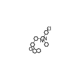 Clc1ccc(-c2cc(-c3cccc(-c4ccc5oc6ccc7ccccc7c6c5c4)c3)nc(-c3ccccc3)n2)cc1